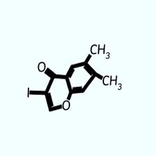 Cc1cc2occ(I)c(=O)c2cc1C